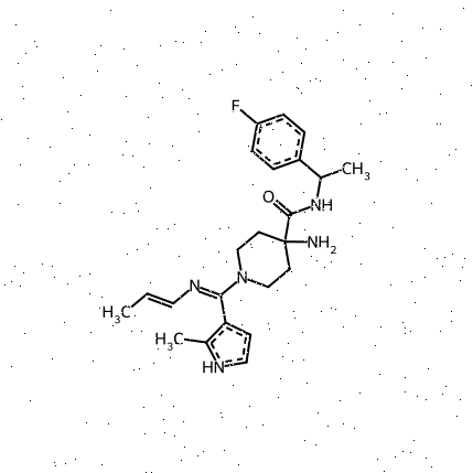 CC=C/N=C(\c1cc[nH]c1C)N1CCC(N)(C(=O)NC(C)c2ccc(F)cc2)CC1